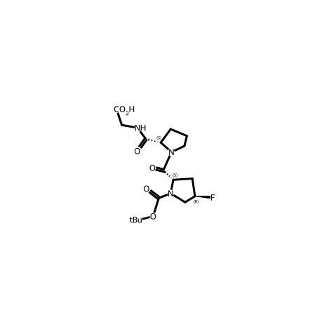 CC(C)(C)OC(=O)N1C[C@H](F)C[C@H]1C(=O)N1CCC[C@H]1C(=O)NCC(=O)O